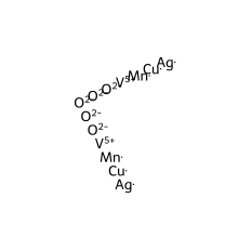 [Ag].[Ag].[Cu].[Cu].[Mn].[Mn].[O-2].[O-2].[O-2].[O-2].[O-2].[V+5].[V+5]